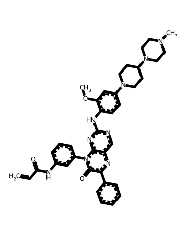 C=CC(=O)Nc1cccc(-n2c(=O)c(-c3ccccc3)nc3cnc(Nc4ccc(N5CCC(N6CCN(C)CC6)CC5)cc4OC)nc32)c1